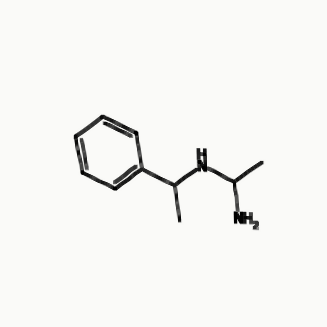 CC(N)NC(C)c1ccccc1